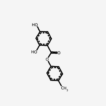 Cc1ccc(OC(=O)c2ccc(O)cc2O)cc1